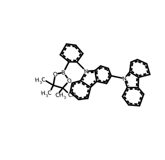 CC1(C)OB(c2ccccc2-n2c3ccccc3c3cc(-n4c5ccccc5c5ccccc54)ccc32)OC1(C)C